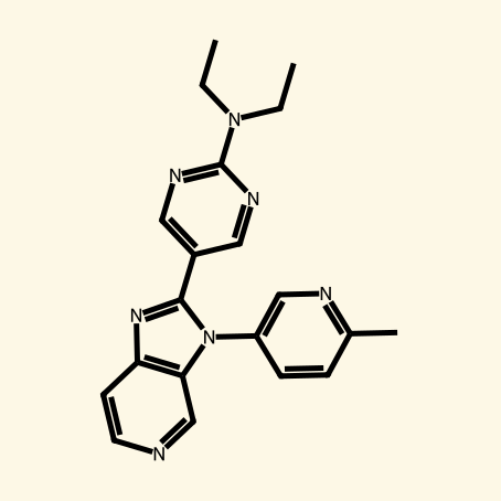 CCN(CC)c1ncc(-c2nc3ccncc3n2-c2ccc(C)nc2)cn1